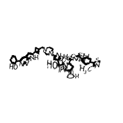 Cc1ncsc1-c1ccc([C@@](C)(S)NC(=O)C2C[C@@H](O)CN2C(=O)[C@](O)(c2cc(N3CCN(CC45CC(c6cc7cc(-c8ccccc8O)nnc7[nH]6)(C4)C5)CC3)no2)C(C)C)cc1